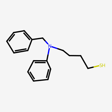 SCCCCN(Cc1ccccc1)c1ccccc1